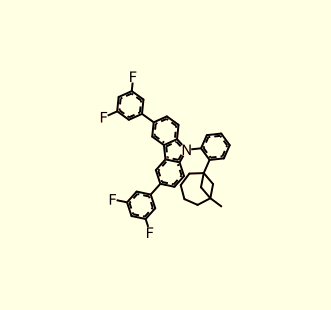 CC12CCCCC(c3ccccc3-n3c4ccc(-c5cc(F)cc(F)c5)cc4c4cc(-c5cc(F)cc(F)c5)ccc43)(C1)C2